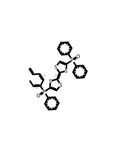 C=C/C=C\C(=C/C)P(=O)(C1=CS/C(=C2/SC=C(P(=O)(c3ccccc3)c3ccccc3)S2)S1)c1ccccc1